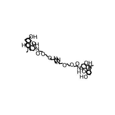 CN1CC[C@]23c4c5ccc(O)c4O[C@H]2[C@@H](NC(=O)COCCOCCn2cc(COCCOCC(=O)N[C@H]4CC[C@@]6(O)C7Cc8ccc(O)c9c8[C@@]6(CCN7C)[C@H]4O9)nn2)CC[C@@]3(O)C1C5